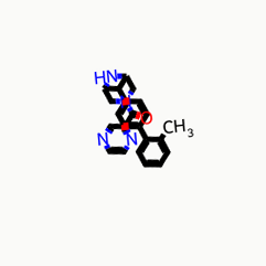 Cc1ccccc1-c1ccc(C2C3CN(C(=O)c4cnccn4)CC2N3)cc1